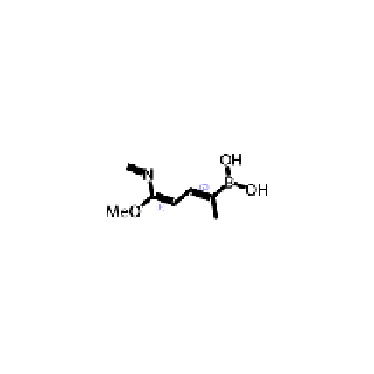 C=N/C(=C\C=C(/C)B(O)O)OC